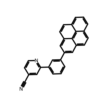 N#Cc1ccnc(-c2cccc(-c3cc4ccc5cccc6ccc(c3)c4c56)c2)c1